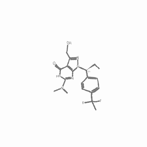 CC[C@@H](c1ccc(C(C)(F)F)cc1)n1nc(CO)c2c(=O)[nH]c(N(C)C)nc21